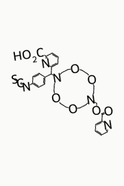 O=C(O)c1cccc(C(c2ccc(N=C=S)cc2)N2CCOCCOCCN(COC(=O)c3ccccn3)CCOCCOCC2)n1